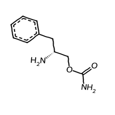 NC(=O)OC[C@H](N)Cc1ccccc1